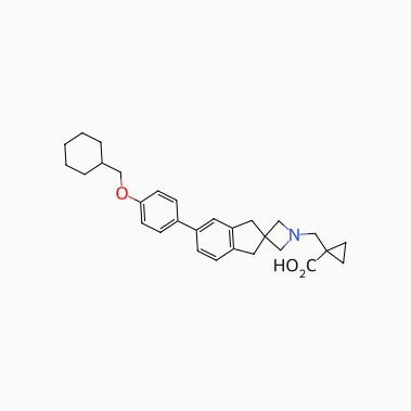 O=C(O)C1(CN2CC3(Cc4ccc(-c5ccc(OCC6CCCCC6)cc5)cc4C3)C2)CC1